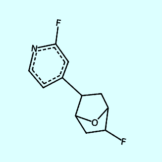 Fc1cc(C2CC3OC2CC3F)ccn1